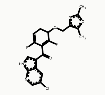 Cc1nc(COC2CC=C(F)C(C(=O)c3c[nH]c4ncc(Cl)cc34)=C2F)c(C)o1